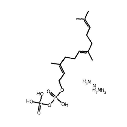 CC(C)=CCCC(C)=CCCC(C)=CCOP(=O)(O)OP(=O)(O)O.N.N.N